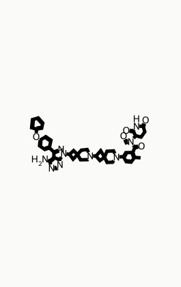 Cc1ccc(N2CCC3(CC2)CC(N2CCC4(CC2)CC(n2nc(-c5ccc(Oc6ccccc6)cc5)c5c(N)ncnc52)C4)C3)cc1C(=O)N(C=O)C1CCC(=O)NC1=O